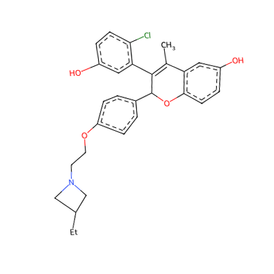 CCC1CN(CCOc2ccc(C3Oc4ccc(O)cc4C(C)=C3c3cc(O)ccc3Cl)cc2)C1